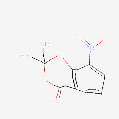 CC1(C)OC(=O)c2cccc([N+](=O)[O-])c2O1